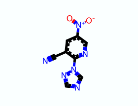 N#Cc1cc([N+](=O)[O-])cnc1-n1cncn1